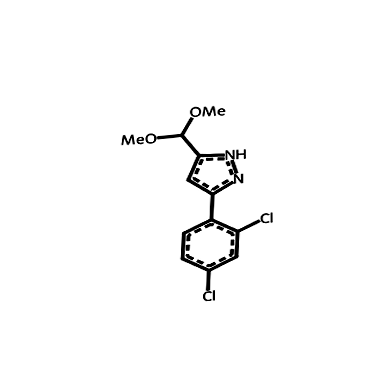 COC(OC)c1cc(-c2ccc(Cl)cc2Cl)n[nH]1